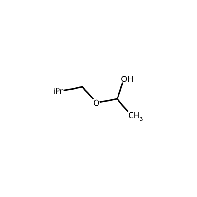 CC(C)COC(C)O